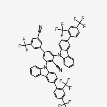 N#Cc1cc(-c2cc(-n3c4ccccc4c4cc(-c5ccc(C(F)(F)F)cc5C(F)(F)F)ccc43)c(C#N)c(-n3c4ccccc4c4cc(-c5ccc(C(F)(F)F)cc5C(F)(F)F)ccc43)c2)cc(C(F)(F)F)c1